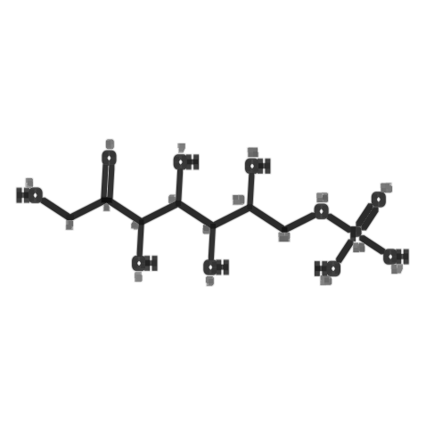 O=C(CO)C(O)C(O)C(O)C(O)COP(=O)(O)O